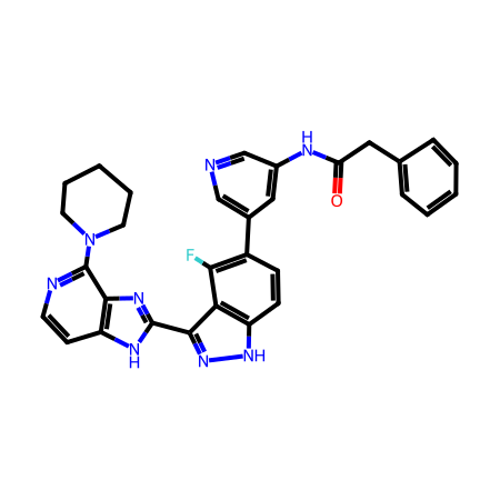 O=C(Cc1ccccc1)Nc1cncc(-c2ccc3[nH]nc(-c4nc5c(N6CCCCC6)nccc5[nH]4)c3c2F)c1